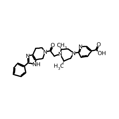 C[C@@H]1CN(c2ccc(C(=O)O)cn2)C[C@H](C)N1CC(=O)N1CCc2nc(-c3ccccc3)[nH]c2C1